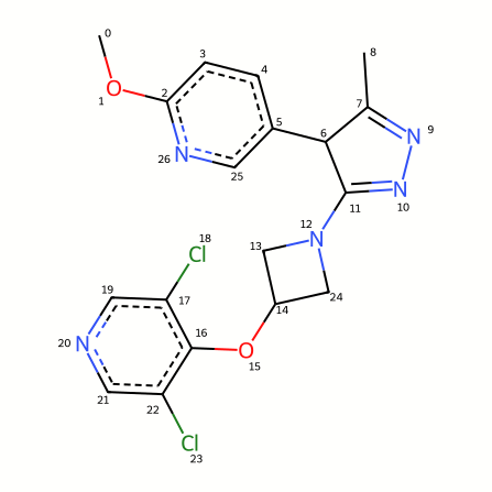 COc1ccc(C2C(C)=NN=C2N2CC(Oc3c(Cl)cncc3Cl)C2)cn1